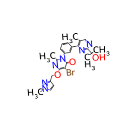 Cc1cnc(C(C)(C)O)nc1-c1cccc(-n2c(C)nc(OCc3ccn(C)n3)c(Br)c2=O)c1